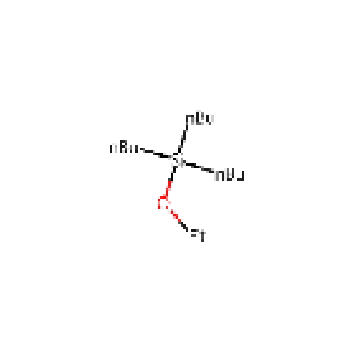 [CH2]CO[Si](CCCC)(CCCC)CCCC